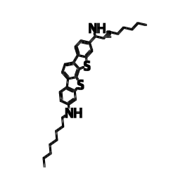 CCCCCCCCNc1ccc2c(c1)sc1c2ccc2c3ccc(C(N)CCCCCCC)cc3sc21